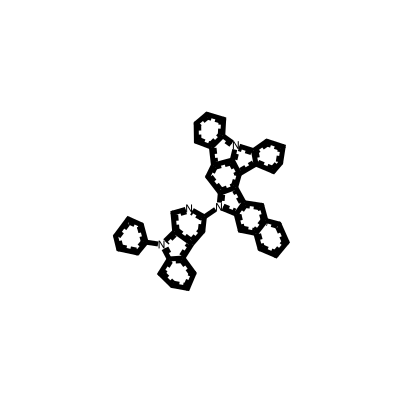 c1ccc(-n2c3ccccc3c3cc(-n4c5cc6ccccc6cc5c5c6c7ccccc7n7c8ccccc8c(cc54)c67)ncc32)cc1